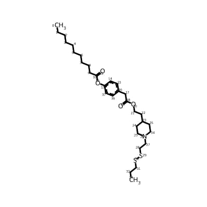 CCCCCCCCCCC(=O)Oc1ccc(CC(=O)OCCC2CCN(CCSSCCC)CC2)cc1